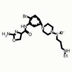 CCNCCC[S+]([O-])N1CCN(c2ccc(Br)c(NC(=O)C3COC(N)=N3)c2)CC1